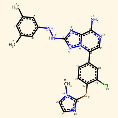 Cc1cc(C)cc(NNc2nc3c(N)ncc(-c4ccc(Sc5nccn5C)c(Cl)c4)n3n2)c1